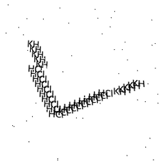 Cl.Cl.Cl.Cl.Cl.Cl.Cl.Cl.Cl.Cl.Cl.Cl.Cl.Cl.Cl.Cl.Cl.Cl.Cl.Cl.[KH].[KH].[KH].[KH].[KH].[KH].[KH].[KH].[KH].[KH]